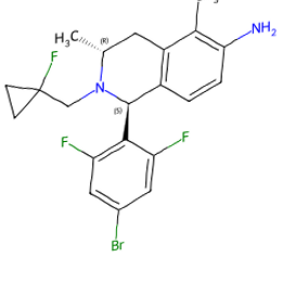 Cc1c(N)ccc2c1C[C@@H](C)N(CC1(F)CC1)[C@@H]2c1c(F)cc(Br)cc1F